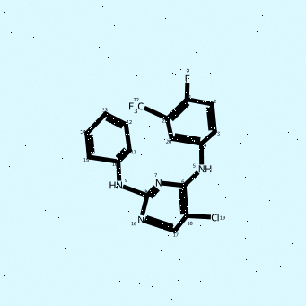 Fc1ccc(Nc2nc(Nc3ccccc3)ncc2Cl)cc1C(F)(F)F